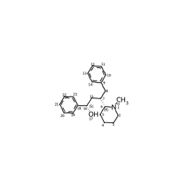 CN1CCCC[C@@H]1C(Cc1ccccc1)C[C@H](O)c1ccccc1